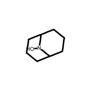 ON1C2CCCC1CCC2